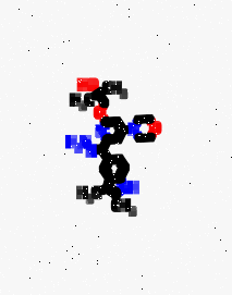 Cc1[nH]c2ccc(C(=NN)c3cc(N4CCOCC4)cc(OCC(C)(C)O)n3)cc2c1C